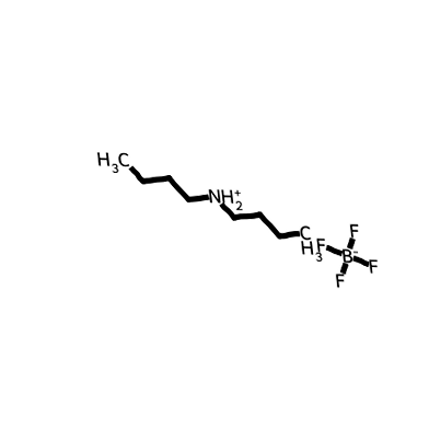 CCCC[NH2+]CCCC.F[B-](F)(F)F